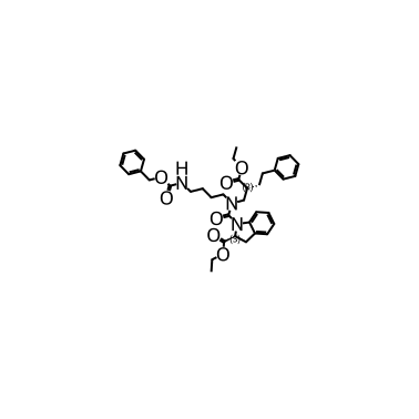 CCOC(=O)[C@H](CCc1ccccc1)CN(CCCCNC(=O)OCc1ccccc1)C(=O)N1c2ccccc2C[C@H]1C(=O)OCC